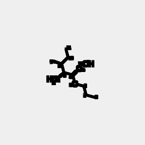 CCCOC(=O)[C@@H](N)[C@@H](C)CC.Cl